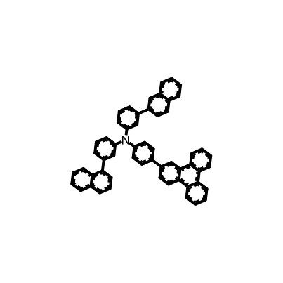 c1cc(-c2ccc3ccccc3c2)cc(N(c2ccc(-c3ccc4c5ccccc5c5ccccc5c4c3)cc2)c2cccc(-c3cccc4ccccc34)c2)c1